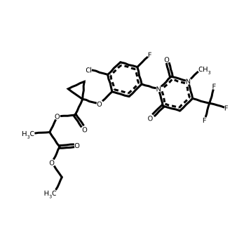 CCOC(=O)C(C)OC(=O)C1(Oc2cc(-n3c(=O)cc(C(F)(F)F)n(C)c3=O)c(F)cc2Cl)CC1